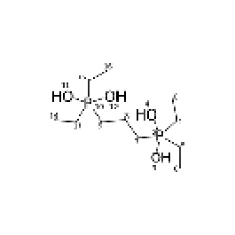 CCP(O)(O)(CC)CCCP(O)(O)(CC)CC